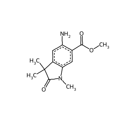 COC(=O)c1cc2c(cc1N)C(C)(C)C(=O)N2C